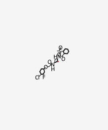 CS(=O)(=O)c1ccccc1C(=O)NC12CC(NC(=O)COc3ccc(Cl)c(F)c3)(C1)C2